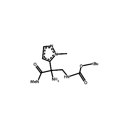 CNC(=O)C(N)(CNC(=O)OC(C)(C)C)c1ccnn1C